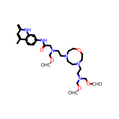 C=C1C=C(C)c2ccc(NC(=O)CN(CCN3CCOCCN(CCN(COC=O)COC=O)CC3)COC=O)cc2N1